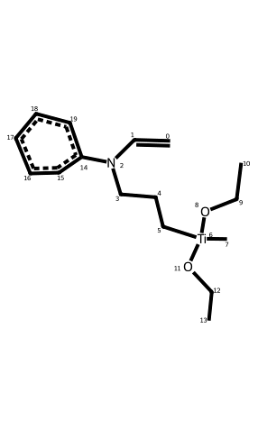 C=CN(CC[CH2][Ti]([CH3])([O]CC)[O]CC)c1ccccc1